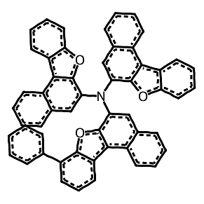 c1ccc(-c2cccc3c2oc2c(N(c4cc5ccccc5c5c4oc4ccccc45)c4cc5ccccc5c5c4oc4ccccc45)cc4ccccc4c23)cc1